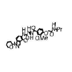 COc1cc(C(=O)NNC(=O)Nc2ccc3c(cnn3C3CCCCO3)c2Cl)ccc1OCC(=O)NC(C)C